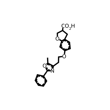 Cc1oc(-c2ccccc2)nc1CCOc1ccc2c(c1)OCC(C(=O)O)C2